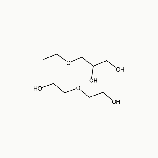 CCOCC(O)CO.OCCOCCO